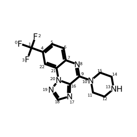 FC(F)(F)c1ccc2nc(N3CCNCC3)c3ncnn3c2c1